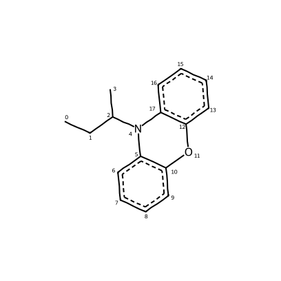 CCC(C)N1c2ccccc2Oc2ccccc21